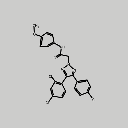 COc1ccc(NC(=O)Cn2nc(-c3ccc(Cl)cc3)c(-c3ccc(Cl)cc3Cl)n2)cc1